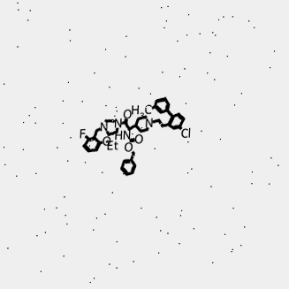 CCOc1cccc(F)c1CN1CCN(C(=O)[C@H](NC(=O)OCc2ccccc2)C2CCN(CCc3cc(Cl)ccc3-c3cccc(C)c3)CC2)CC1